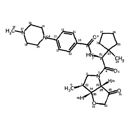 C[C@H]1CN(C(=O)[C@@H](NC(=O)c2ccc(N3CCN(C)CC3)cc2)C2(C)CCCC2)[C@@H]2C(=O)CO[C@@H]21